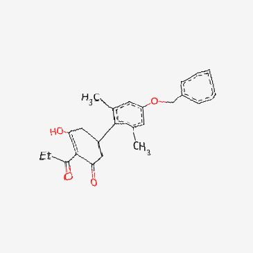 CCC(=O)C1=C(O)CC(c2c(C)cc(OCc3ccccc3)cc2C)CC1=O